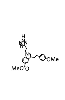 COC(=O)c1ccc2c(c1)c(CCc1ccc(OC)cc1)cn2CCc1nn[nH]n1